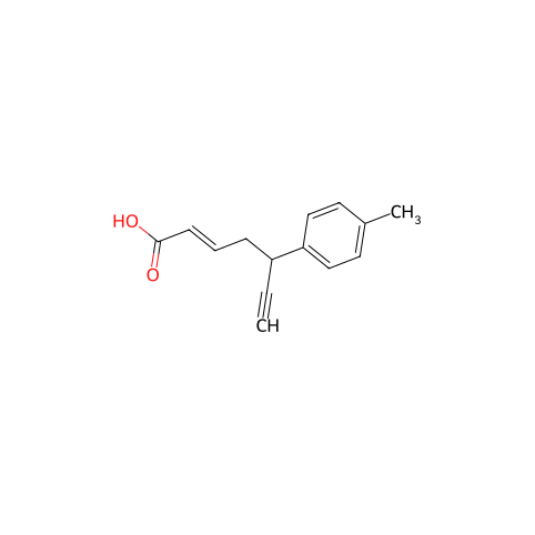 C#CC(C/C=C/C(=O)O)c1ccc(C)cc1